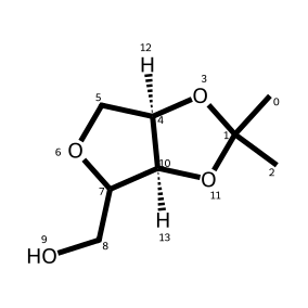 CC1(C)O[C@@H]2COC(CO)[C@@H]2O1